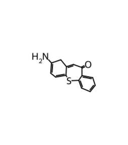 NC1=CC=C2Sc3ccccc3C(=O)C=C2C1